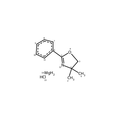 CC1(C)COC(c2ccccc2)=N1.Cl.[MgH2]